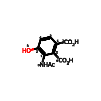 CC(=O)Nc1c(O)ccc(C(=O)O)c1C(=O)O